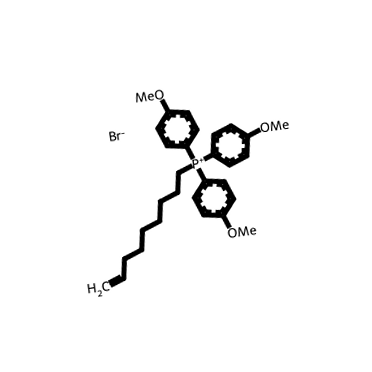 C=CCCCCCCC[P+](c1ccc(OC)cc1)(c1ccc(OC)cc1)c1ccc(OC)cc1.[Br-]